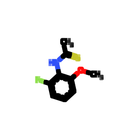 COc1cccc(F)c1NC(C)=S